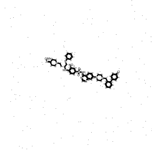 CON=C1CCN(CC[C@H](CSc2ccccc2)Nc2ccc(S(=O)(=O)Nc3ncnc4cc(N5CCN(Cc6ccccc6-c6ccc(Cl)cc6)CC5)ccc34)cc2[N+](=O)[O-])CC1